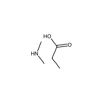 CCC(=O)O.CNC